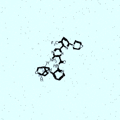 C[C@H]1[C@H]2CO[C@@H]1CN(c1cccnc1NC(=O)c1nc(-c3nc(N4CCOCC4)ccc3C(F)(F)F)cnc1N)C2